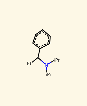 CCC(c1ccccc1)N(C(C)C)C(C)C